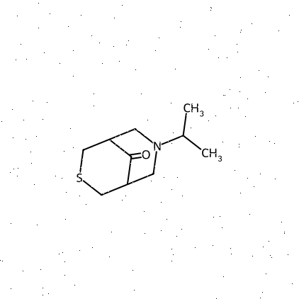 CC(C)N1CC2CSCC(C1)C2=O